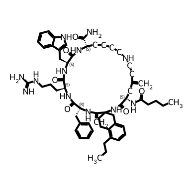 C=C1CCNCCCC[C@@H](C(N)=O)NC(=O)[C@H](Cc2c[nH]c3ccccc23)NC(=O)[C@H](CCCNC(=N)N)NC(=O)[C@@H](Cc2ccccc2)NC(=C)C2(CCc3c(CCC)cccc3C2)NC(=O)[C@@H](NC(=O)CCCC)C1